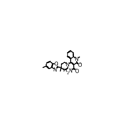 Cc1ccc2oc(C3(C)CCN(c4c(C(N)=O)c(=O)n(C)c5ccccc45)CC3)nc2c1